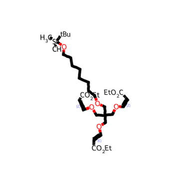 CCOC(=O)/C=C\OCC(CO/C=C\C(=O)OCC)(CO/C=C/C(=O)OCC)COCCCCCCCCO[Si](C)(C)C(C)(C)C